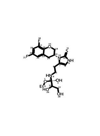 CCO[C@@](O)(NCCc1c[nH]c(=S)n1[C@H]1COc2c(F)cc(F)cc2C1)C(O)CO